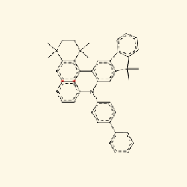 Cc1ccc2c(c1-c1cc3c(cc1N(c1ccccc1)c1ccc(-c4ccccc4)cc1)C(C)(C)c1ccccc1-3)C(C)(C)CCC2(C)C